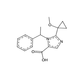 COC1(c2ncc(C(=O)O)n2C(C)c2ccccc2)CC1